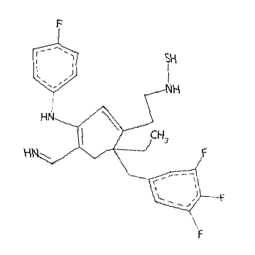 CCC1(Cc2cc(F)c(F)c(F)c2)CC(C=N)=C(Nc2ccc(F)cc2)C=C1CCNS